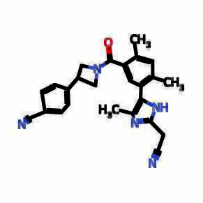 Cc1cc(C)c(-c2[nH]c(CC#N)nc2C)cc1C(=O)N1CC(c2ccc(C#N)cc2)C1